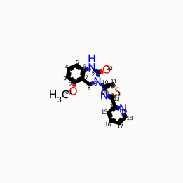 COc1cccc2c1CN(c1csc(-c3ccccn3)n1)C(=O)N2